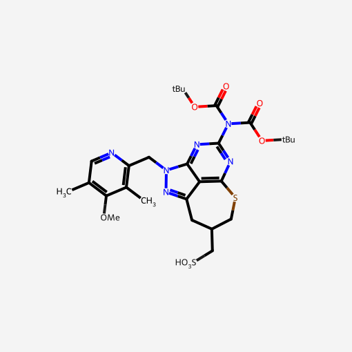 COc1c(C)cnc(Cn2nc3c4c(nc(N(C(=O)OC(C)(C)C)C(=O)OC(C)(C)C)nc42)SCC(CS(=O)(=O)O)C3)c1C